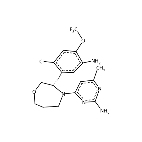 Cc1cc(N2CCCOC[C@@H]2c2cc(N)c(OC(F)(F)F)cc2Cl)nc(N)n1